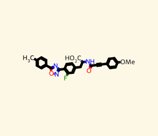 COc1ccc(C#CC(=O)NC(Cc2ccc(-c3noc(-c4ccc(C)cc4)n3)c(F)c2)C(=O)O)cc1